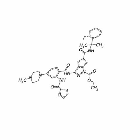 CCOC(=O)n1nc(NC(=O)c2ccc(N3CCN(C)CC3)cc2NC(=O)c2ccco2)c2cc(C(=O)NC(C)(C)c3ccccc3F)sc21